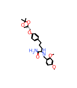 COc1ccc(CNC(CCCc2ccc(OC[C@@H]3COC(C)(C)O3)cc2)C(N)=O)c(OC)c1